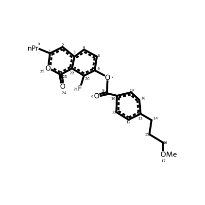 CCCc1cc2ccc(OC(=O)c3ccc(CCCOC)cc3)c(F)c2c(=O)o1